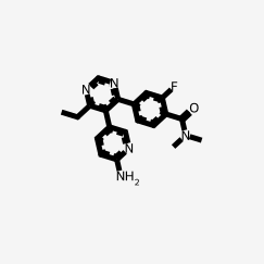 CCc1ncnc(-c2ccc(C(=O)N(C)C)c(F)c2)c1-c1ccc(N)nc1